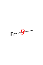 C/C=C/CCCCCCCC(=O)OCCCCCCCC(C)C